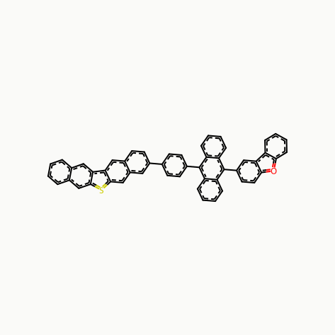 c1ccc2cc3c(cc2c1)sc1cc2cc(-c4ccc(-c5c6ccccc6c(-c6ccc7oc8ccccc8c7c6)c6ccccc56)cc4)ccc2cc13